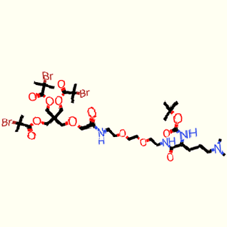 CN(C)CCCC(NC(=O)OC(C)(C)C)C(=O)NCCOCCOCCNC(=O)COCC(COC(=O)C(C)(C)Br)(COC(=O)C(C)(C)Br)COC(=O)C(C)(C)Br